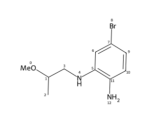 COC(C)CNc1cc(Br)ccc1N